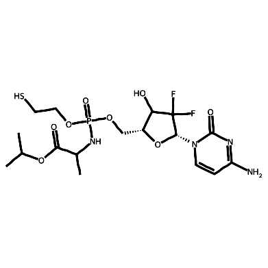 CC(C)OC(=O)C(C)NP(=O)(OCCS)OC[C@H]1O[C@@H](n2ccc(N)nc2=O)C(F)(F)C1O